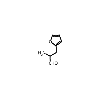 NC([C]=O)Cc1ccco1